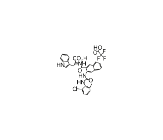 Cc1cccc(Cl)c1NC(=O)Nc1cc2ccccc2cc1C(=O)N[C@@H](Cc1c[nH]c2ccccc12)C(=O)O.O=C(O)C(F)(F)F